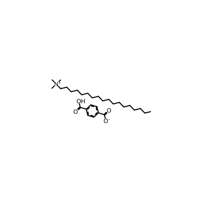 CCCCCCCCCCCCCCCCCC[N+](C)(C)C.O=C([O-])c1ccc(C(=O)O)cc1